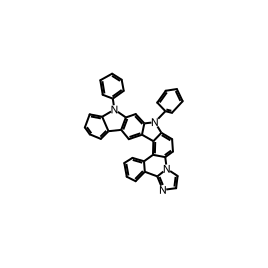 c1ccc(-n2c3ccccc3c3cc4c5c6c7ccccc7c7nccn7c6ccc5n(-c5ccccc5)c4cc32)cc1